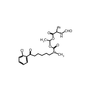 CC(OC(=O)C(NC=O)C(C)C)OC(=O)N(C)CCCCCC(=O)c1ccccc1Cl